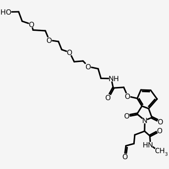 CNC(=O)C(CCC=O)N1C(=O)c2cccc(OCC(=O)NCCOCCOCCOCCOCCO)c2C1=O